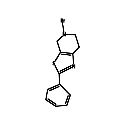 BrN1CCc2nc(-c3ccccc3)sc2C1